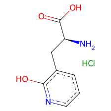 Cl.N[C@@H](Cc1cccnc1O)C(=O)O